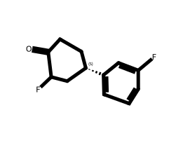 O=C1CC[C@H](c2cccc(F)c2)CC1F